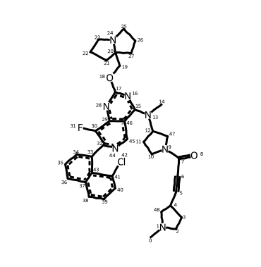 CN1CCC(C#CC(=O)N2CCC(N(C)c3nc(OCC45CCCN4CCC5)nc4c(F)c(-c5cccc6cccc(Cl)c56)ncc34)C2)C1